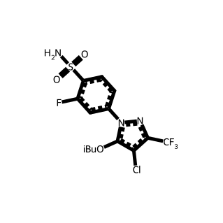 CC(C)COc1c(Cl)c(C(F)(F)F)nn1-c1ccc(S(N)(=O)=O)c(F)c1